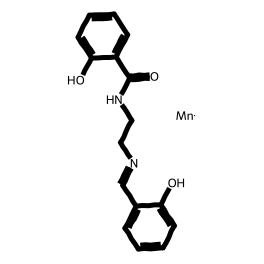 O=C(NCCN=Cc1ccccc1O)c1ccccc1O.[Mn]